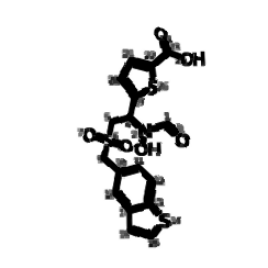 O=CN(O)C(CS(=O)(=O)Cc1ccc2sccc2c1)c1ccc(C(=O)O)s1